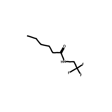 CCCCCC(=O)NCC(F)(F)F